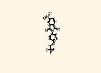 O=C1c2ccc([N+](=O)[O-])cc2C(=O)N1c1ccc(OCC(F)(F)F)nc1